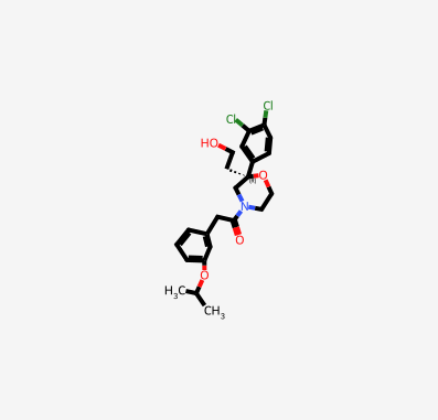 CC(C)Oc1cccc(CC(=O)N2CCO[C@](CCO)(c3ccc(Cl)c(Cl)c3)C2)c1